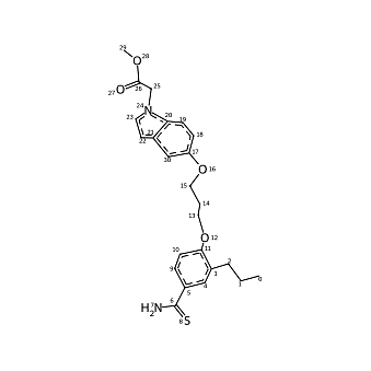 CCCc1cc(C(N)=S)ccc1OCCCOc1ccc2c(ccn2CC(=O)OC)c1